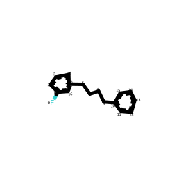 Fc1cccc(CCCCc2cc[c]cc2)c1